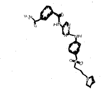 NC(=O)c1cccc(C(=O)Nc2cnc(Nc3ccc(S(=O)(=O)CCCN4CCCC4)cc3)nc2)c1